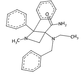 CCN(Cc1ccccc1)C1(C(N)=O)CN(C)C1(c1ccccc1)c1ccccc1